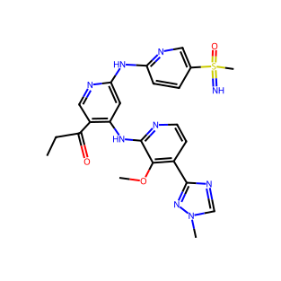 CCC(=O)c1cnc(Nc2ccc(S(C)(=N)=O)cn2)cc1Nc1nccc(-c2ncn(C)n2)c1OC